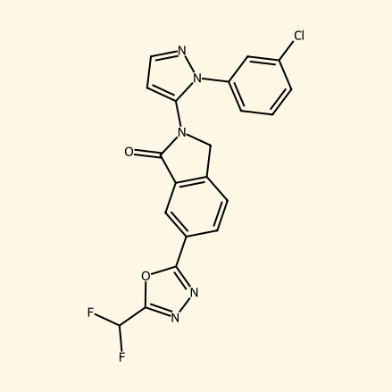 O=C1c2cc(-c3nnc(C(F)F)o3)ccc2CN1c1ccnn1-c1cccc(Cl)c1